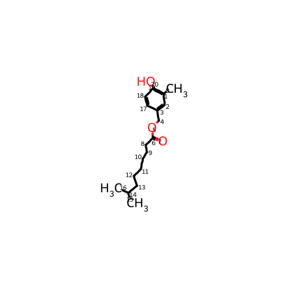 Cc1cc(COC(=O)CCCCCCC(C)C)ccc1O